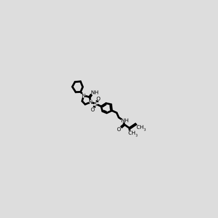 CC=C(C)C(=O)NCCc1ccc(S(=O)(=O)N2CCN(C3CCCCC3)C2=N)cc1